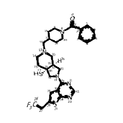 O=C(c1ccccc1)N1CCC(CN2CC[C@]3(S)CN(c4ncnc5sc(CC(F)(F)F)cc45)C[C@@H]3C2)CC1